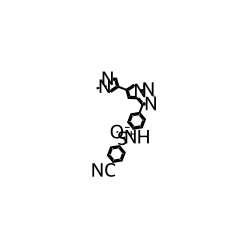 Cn1cc(-c2cc3c(-c4ccc(N[S+]([O-])c5ccc(C#N)cc5)cc4)ncnn3c2)cn1